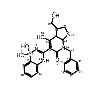 O=C1C(C2=NS(O)(O)c3ccccc3N2)=C(O)C2C(CO)CSC2N1Cc1ccccc1